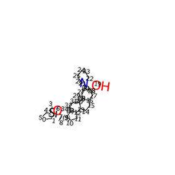 CC[Si](C)(CC)OC(C)[C@H]1CCC2C3CCC4C[C@H](O)[C@@H](N5CCCCC5)C[C@]4(C)C3CC[C@@]21C